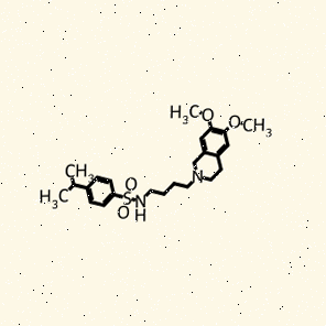 COc1cc2c(cc1OC)CN(CCCCNS(=O)(=O)c1ccc(C(C)C)cc1)CC2